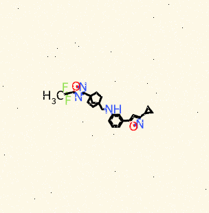 CC(F)(F)c1nc(C23CCC(CNc4cccc(-c5cc(C6CC6)no5)c4)(CC2)C3)no1